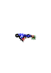 CCCC(Cc1c[nH]c2ccccc12)NC(=O)c1nnc(N2CCN(CCOC(F)(F)F)CC2)s1